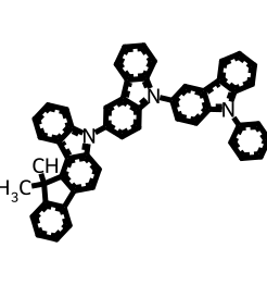 CC1(C)c2ccccc2-c2ccc3c(c21)c1ccccc1n3-c1ccc2c(c1)c1ccccc1n2-c1ccc2c(c1)c1ccccc1n2-c1ccccc1